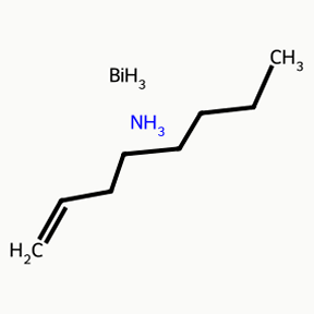 C=CCCCCCC.N.[BiH3]